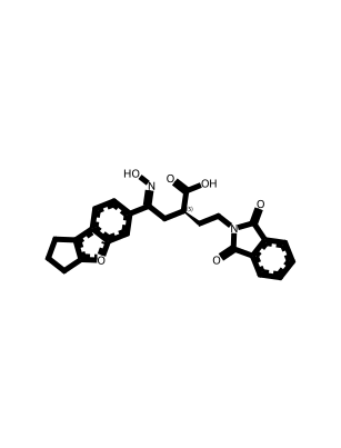 O=C(O)[C@@H](CCN1C(=O)c2ccccc2C1=O)CC(=NO)c1ccc2c3c(oc2c1)CCC3